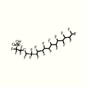 O=S(=O)(O)C(F)(F)C(F)(F)OC(F)C(F)(F)C(F)C(F)C(F)C(F)C(F)C(F)C(F)C(F)C(F)C(F)C(F)C(F)F